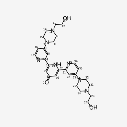 O=c1cc(-c2cc(N3CCN(CCO)CC3)ccn2)[nH]c(-c2cc(N3CCN(CCO)CC3)ccn2)c1